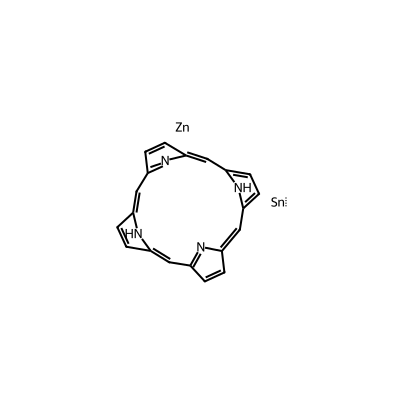 C1=Cc2cc3ccc(cc4nc(cc5ccc(cc1n2)[nH]5)C=C4)[nH]3.[Sn].[Zn]